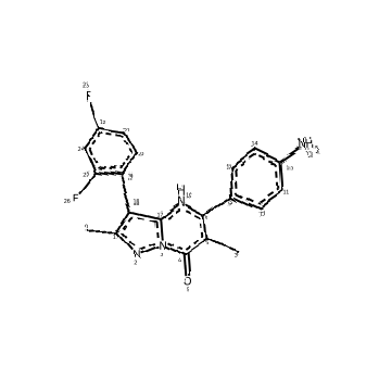 Cc1nn2c(=O)c(C)c(-c3ccc(N)cc3)[nH]c2c1-c1ccc(F)cc1F